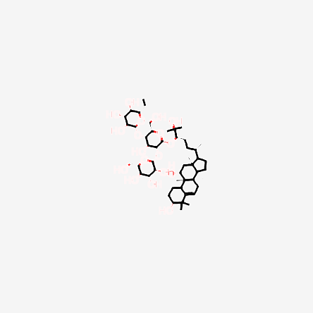 CC[C@@H]1O[C@H](O[C@H]2[C@H](O)[C@@H](O[C@H]3O[C@@H](CO)[C@H](O)[C@@H](O)[C@@H]3O)[C@H](O[C@H](CC[C@@H](C)C3CC[C@@]4(C)C5CC=C6C(CC[C@H](O)C6(C)C)[C@]5(C)[C@H](O)C[C@]34C)C(C)(C)O)O[C@@H]2CO)[C@@H](O)[C@H](O)[C@H]1O